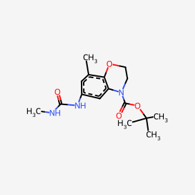 CNC(=O)Nc1cc(C)c2c(c1)N(C(=O)OC(C)(C)C)CCO2